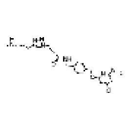 CNCCCc1cn(CCCC(=O)NCc2ccc(COc3cc(Cl)nc(N)n3)cc2)nn1